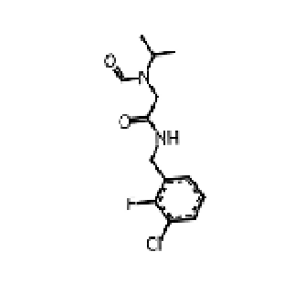 CC(C)N(C=O)CC(=O)NCc1cccc(Cl)c1F